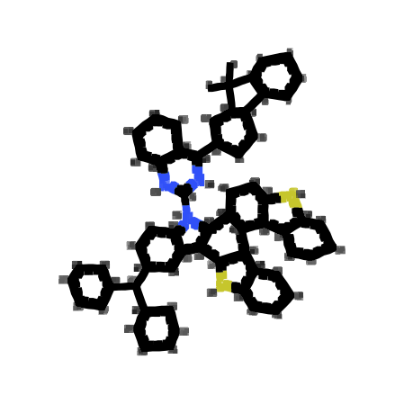 CC1(C)c2ccccc2-c2ccc(-c3nc(-n4c5ccc(C(c6ccccc6)c6ccccc6)cc5c5c6sc7ccccc7c6c6c(ccc7sc8ccccc8c76)c54)nc4ccccc34)cc21